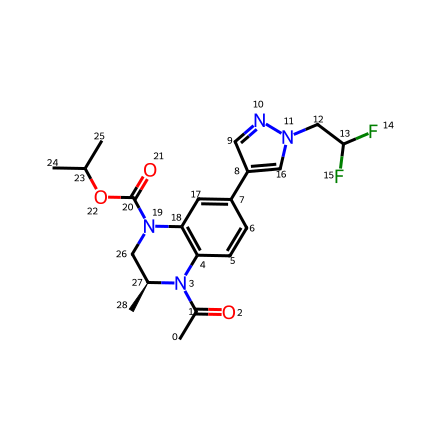 CC(=O)N1c2ccc(-c3cnn(CC(F)F)c3)cc2N(C(=O)OC(C)C)C[C@@H]1C